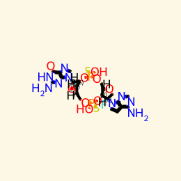 Nc1nc2c(ncn2[C@@H]2O[C@@H]3COP(O)(=S)O[C@@H]4[C@@H](COP(O)(=S)O[C@@H]2[C@H]3F)OC[C@@]4(F)n2ccc3c(N)ncnc32)c(=O)[nH]1